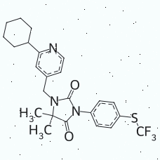 CC1(C)C(=O)N(c2ccc(SC(F)(F)F)cc2)C(=O)N1Cc1ccnc(C2CCCCC2)c1